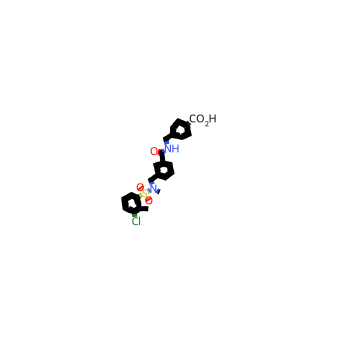 Cc1c(Cl)cccc1S(=O)(=O)N(C)Cc1cccc(C(=O)NCc2ccc(C(=O)O)cc2)c1